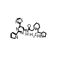 C[C@@H](C1CCCN1)C1CCCCN1CC(=O)Nc1cc(-c2nccs2)nc(-c2ccccn2)n1